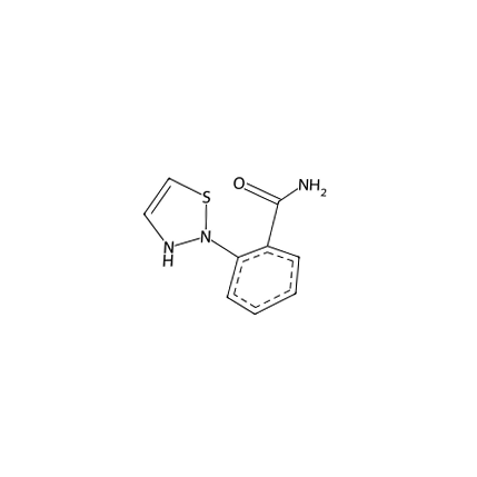 NC(=O)c1ccccc1N1NC=CS1